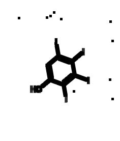 Oc1cc(I)c(I)c(I)c1I